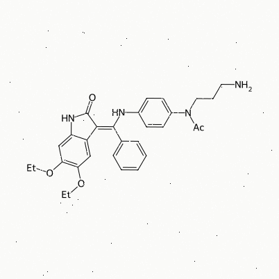 CCOc1cc2c(cc1OCC)/C(=C(/Nc1ccc(N(CCCN)C(C)=O)cc1)c1ccccc1)C(=O)N2